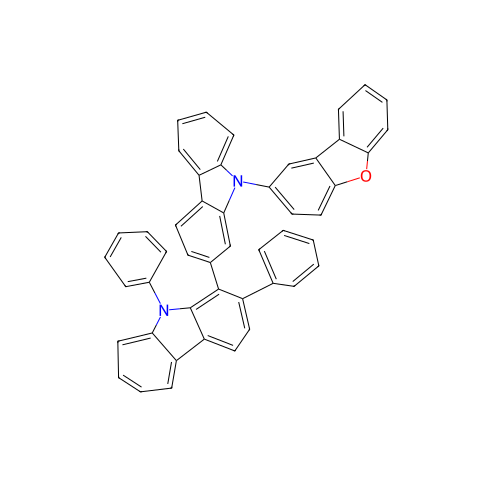 c1ccc(-c2ccc3c4ccccc4n(-c4ccccc4)c3c2-c2ccc3c4ccccc4n(-c4ccc5oc6ccccc6c5c4)c3c2)cc1